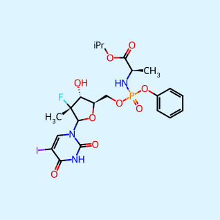 CC(C)OC(=O)[C@@H](C)NP(=O)(OC[C@H]1OC(n2cc(I)c(=O)[nH]c2=O)[C@](C)(F)[C@@H]1O)Oc1ccccc1